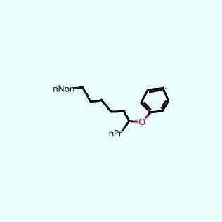 CCCCCCCCCCCCCCC(CCC)Oc1cc[c]cc1